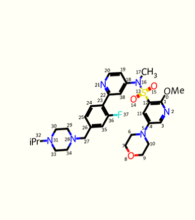 COc1ncc(N2CCOCC2)cc1S(=O)(=O)N(C)c1ccnc(-c2ccc(CN3CCN(C(C)C)CC3)cc2F)c1